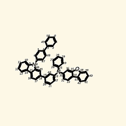 c1ccc(-c2ccc(-n3c4ccccc4c4ccc(-c5cccc(N(c6ccccc6)c6ccc7c(c6)oc6ccccc67)c5)cc43)cc2)cc1